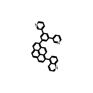 c1cncc(-c2cc(-c3cccnc3)cc(-c3ccc4ccc5ccc(-c6cccc7ncccc67)c6ccc3c4c56)c2)c1